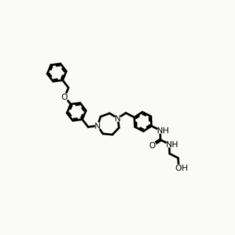 O=C(NCCO)Nc1ccc(CN2CCCN(Cc3ccc(OCc4ccccc4)cc3)CC2)cc1